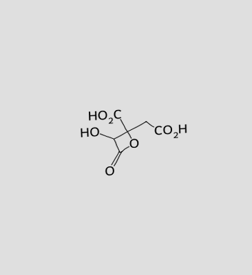 O=C(O)CC1(C(=O)O)OC(=O)C1O